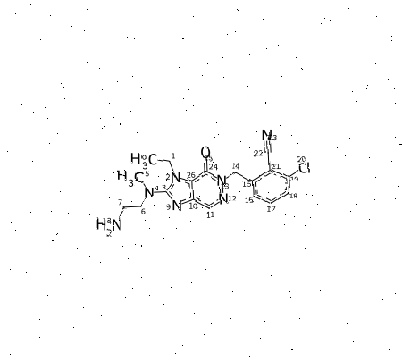 CCn1c(N(C)CCN)nc2cnn(Cc3cccc(Cl)c3C#N)c(=O)c21